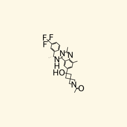 CC(=O)N1CC2(C1)CC(O)(c1cc(C)c3nc(C)nc(N[C@H](C)c4cccc(C(F)(F)F)c4)c3c1)C2